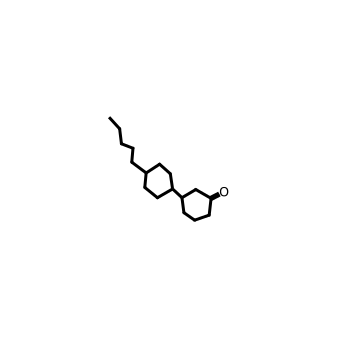 CCCCCC1CCC(C2CCCC(=O)C2)CC1